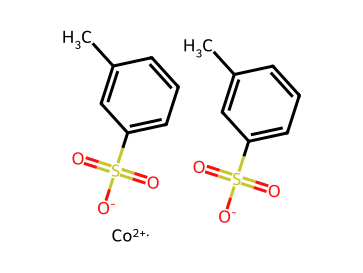 Cc1cccc(S(=O)(=O)[O-])c1.Cc1cccc(S(=O)(=O)[O-])c1.[Co+2]